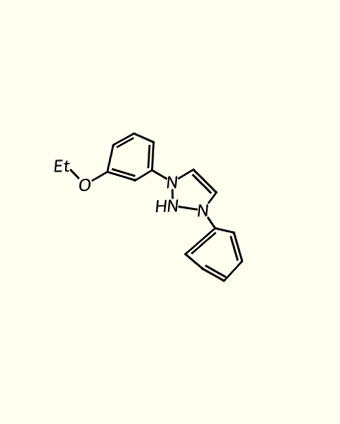 CCOc1cccc(N2C=CN(c3ccccc3)N2)c1